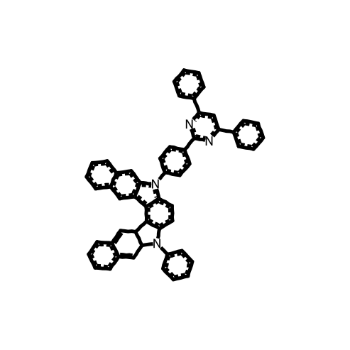 C1=c2ccccc2=CC2C1c1c(ccc3c1c1cc4ccccc4cc1n3-c1ccc(-c3nc(-c4ccccc4)cc(-c4ccccc4)n3)cc1)N2c1ccccc1